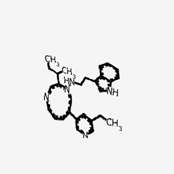 CCc1cncc(-c2cccncc(C(C)CC)n(NCCc3c[nH]c4ccccc34)c2)c1